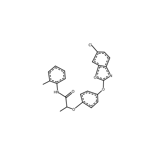 Cc1ccccc1NC(=O)C(C)Oc1ccc(Oc2nc3ccc(Cl)cc3o2)cc1